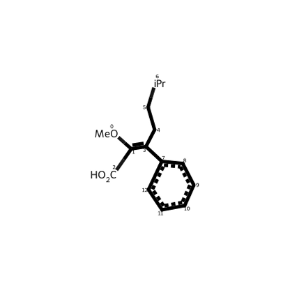 COC(C(=O)O)=C(CCC(C)C)c1ccccc1